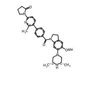 COc1cc2c(cc1N1C[C@@H](C)N[C@@H](C)C1)N(C(=O)c1ccc(-c3ccc(N4CCCC4=O)nc3C)cc1)CC2